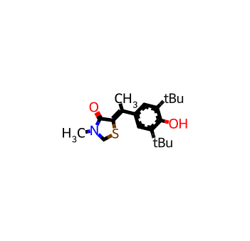 CC(=C1SCN(C)C1=O)c1cc(C(C)(C)C)c(O)c(C(C)(C)C)c1